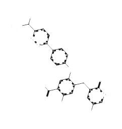 CC(C)c1ccc(-c2ccc(Oc3cc(C(=O)O)c(F)cc3Cc3cc(F)c[nH]c3=O)cc2)nn1